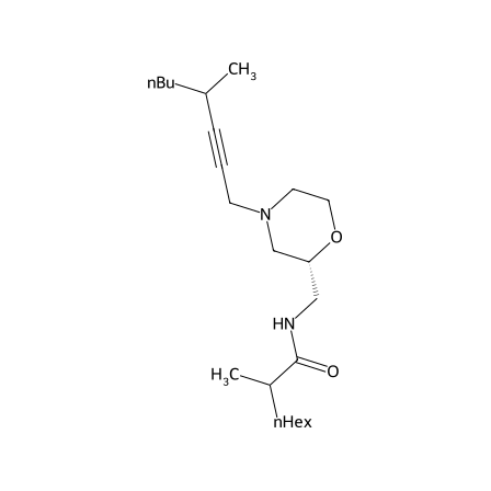 CCCCCCC(C)C(=O)NC[C@@H]1CN(CC#CC(C)CCCC)CCO1